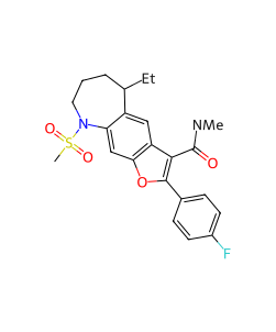 CCC1CCCN(S(C)(=O)=O)c2cc3oc(-c4ccc(F)cc4)c(C(=O)NC)c3cc21